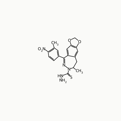 Cc1cc(C2=NN(C(=S)NN)C(C)Cc3cc4c(cc32)OCO4)ccc1[N+](=O)[O-]